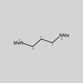 CN[CH]CCNC